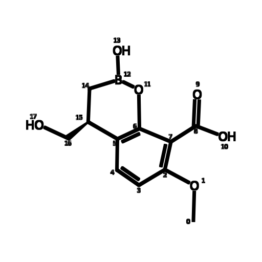 COc1ccc2c(c1C(=O)O)OB(O)C[C@@H]2CO